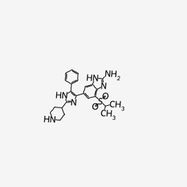 CC(C)S(=O)(=O)c1cc(-c2nc(C3CCNCC3)[nH]c2-c2ccccc2)cc2[nH]c(N)nc12